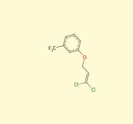 FC(F)(F)c1c[c]cc(OCC=C(Cl)Cl)c1